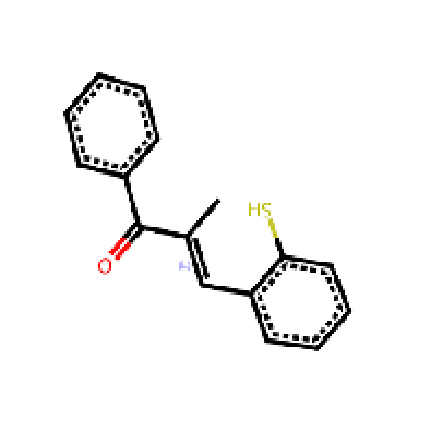 C/C(=C\c1ccccc1S)C(=O)c1ccccc1